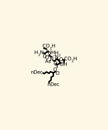 CCCCCCCCCCCCCCC(CCCCCCCCCCCCCC)C(=O)OC[C@H]1OC(N(C(C)=O)[C@@H](C)C(=O)N[C@H](CCC(=O)O)C(N)=O)[C@H](N)[C@@H](O[C@H](C)C(=O)O)[C@@H]1O